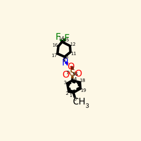 Cc1ccc(S(=O)(=O)ON=C2CCC(F)(F)CC2)cc1